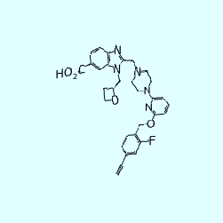 C#Cc1ccc(COc2cccc(N3CCN(Cc4nc5ccc(C(=O)O)cc5n4C[C@@H]4CCO4)CC3)n2)c(F)c1